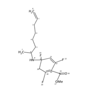 C=CCCCCC(C)NC1(F)C=C(F)C(C(=O)OC)=C(F)C1